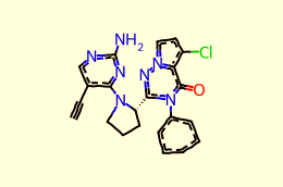 C#Cc1cnc(N)nc1N1CCC[C@H]1c1nn2ccc(Cl)c2c(=O)n1-c1ccccc1